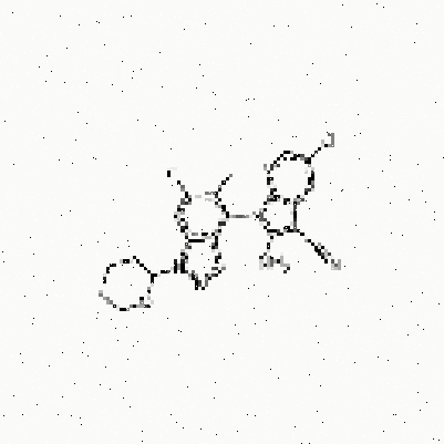 Cc1c(F)cc2c(cnn2C2CCCCO2)c1-n1c(N)c(C#N)c2cc(Cl)cnc21